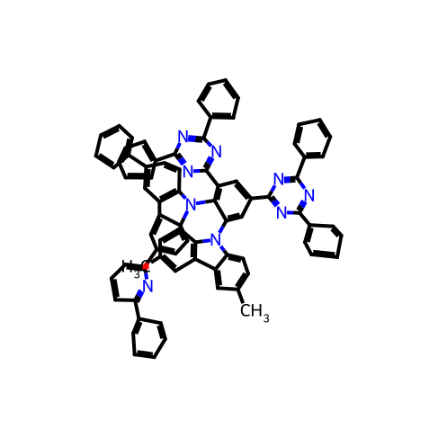 Cc1ccc2c(c1)c1cc(C)ccc1n2-c1cc(-c2nc(-c3ccccc3)nc(-c3ccccc3)n2)cc(-c2nc(-c3ccccc3)nc(-c3ccccc3)n2)c1-n1c2ccc(-c3ccccc3)cc2c2cc(-c3cccc(-c4ccccc4)n3)ccc21